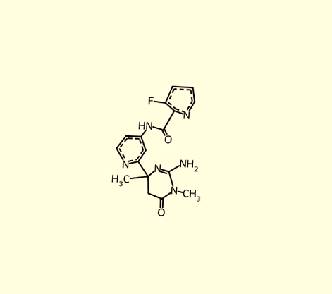 CN1C(=O)CC(C)(c2cc(NC(=O)c3ncccc3F)ccn2)N=C1N